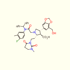 CCCC(CCC)N(C(=O)CN1C[C@H](c2cc(CO)c3c(c2)OCO3)[C@@H](C(=O)O)[C@@H]1CCN1C(=O)CCN(C)C1=O)c1ccc(F)c(C)c1